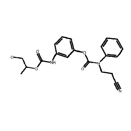 CC(CCl)OC(=O)Nc1cccc(OC(=O)N(CCC#N)c2ccccc2)c1